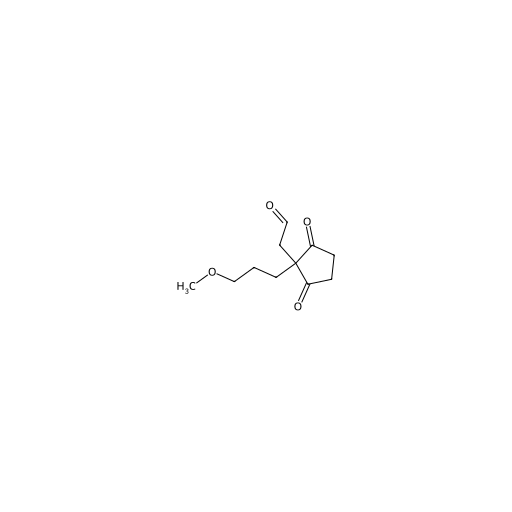 COCCCC1(CC=O)C(=O)CCC1=O